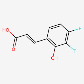 O=C(O)C=Cc1ccc(F)c(F)c1O